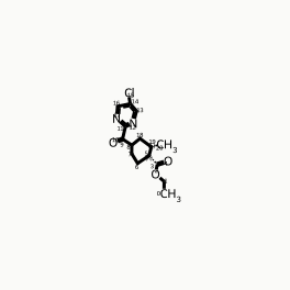 CCOC(=O)[C@@H]1CCC(C(=O)c2ncc(Cl)cn2)C[C@@H]1C